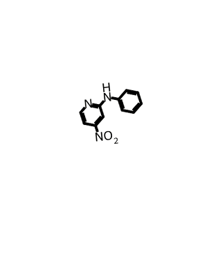 O=[N+]([O-])c1ccnc(Nc2ccccc2)c1